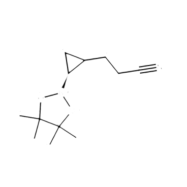 CC1(C)OB([C@H]2CC2CCC#N)OC1(C)C